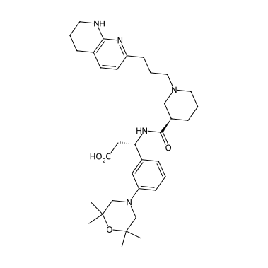 CC1(C)CN(c2cccc([C@H](CC(=O)O)NC(=O)[C@@H]3CCCN(CCCc4ccc5c(n4)NCCC5)C3)c2)CC(C)(C)O1